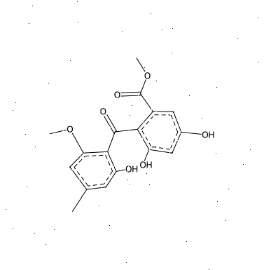 COC(=O)c1cc(O)cc(O)c1C(=O)c1c(O)cc(C)cc1OC